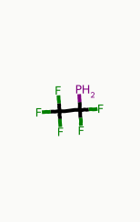 FC(F)(F)C(F)(F)P